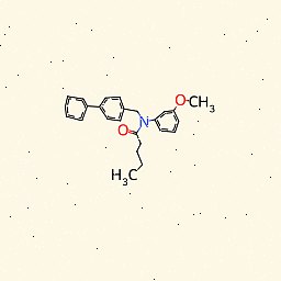 CCCCC(=O)N(Cc1ccc(-c2ccccc2)cc1)c1cccc(OC)c1